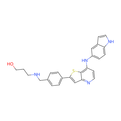 OCCCNCc1ccc(-c2cc3nccc(Nc4ccc5[nH]ccc5c4)c3s2)cc1